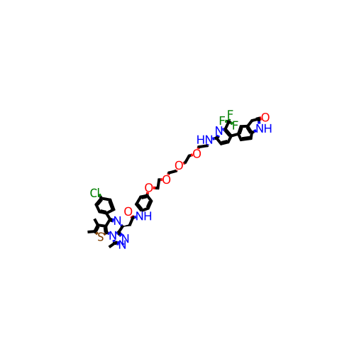 Cc1sc2c(c1C)C(c1ccc(Cl)cc1)=N[C@@H](CC(=O)Nc1ccc(OCCOCCOCCOCCNc3ccc(-c4ccc5c(c4)CC(=O)N5)c(C(F)(F)F)n3)cc1)c1nnc(C)n1-2